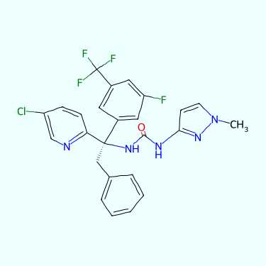 Cn1ccc(NC(=O)N[C@](Cc2ccccc2)(c2cc(F)cc(C(F)(F)F)c2)c2ccc(Cl)cn2)n1